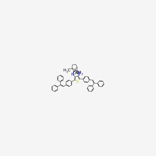 CC12CCC(c3nc4c(-c5ccc(C=C(c6ccccc6)c6ccccc6)cc5)sc(-c5ccc(C=C(c6ccccc6)c6ccccc6)cc5)c4nc31)C2(C)C